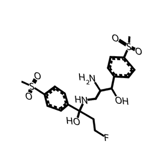 CS(=O)(=O)c1ccc(C(O)C(N)CNC(O)(CCF)c2ccc(S(C)(=O)=O)cc2)cc1